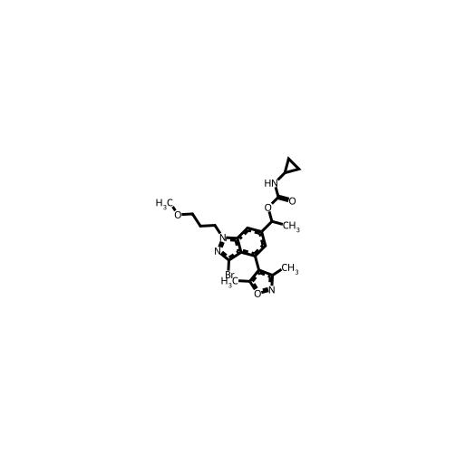 COCCCn1nc(Br)c2c(-c3c(C)noc3C)cc(C(C)OC(=O)NC3CC3)cc21